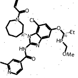 C=CC(=O)N1CCCC[C@@H](n2c(NC(=O)c3ccnc(C)c3)nc3cc(O[C@H](CC)PCOC)cc(Cl)c32)C1